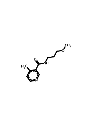 COCCCNC(=O)c1cnccc1C